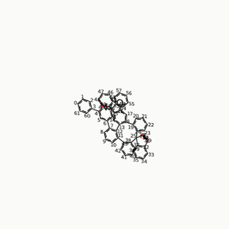 c1ccc(-c2cc(-c3cccc4c3-c3cc5c(cc3-c3ccccc3C3(c6ccccc6-c6ccccc63)c3ccccc3-4)oc3ccccc35)cc(-c3ccccc3)n2)cc1